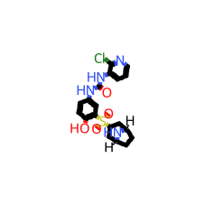 O=C(Nc1ccc(O)c(S(=O)(=O)C2C[C@H]3CC[C@@H](C2)N3)c1)Nc1cccnc1Cl